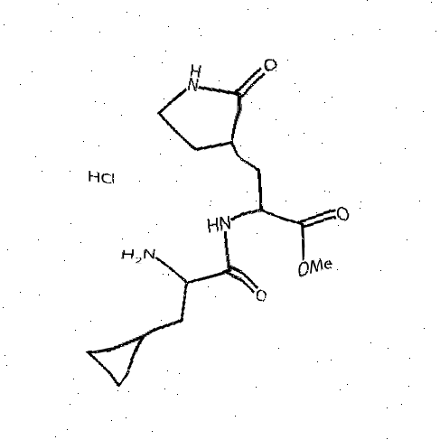 COC(=O)C(CC1CCNC1=O)NC(=O)C(N)CC1CC1.Cl